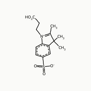 CC1=[N+](CCC(=O)O)c2ccc(S(=O)(=O)[O-])cc2C1(C)C